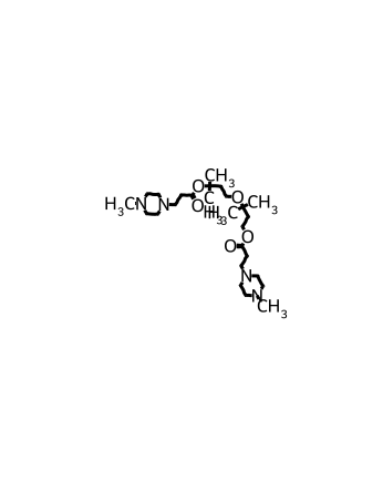 CN1CCN(CCC(=O)OCCC(C)(C)OCCC(C)(C)OC(=O)CCN2CCN(C)CC2)CC1